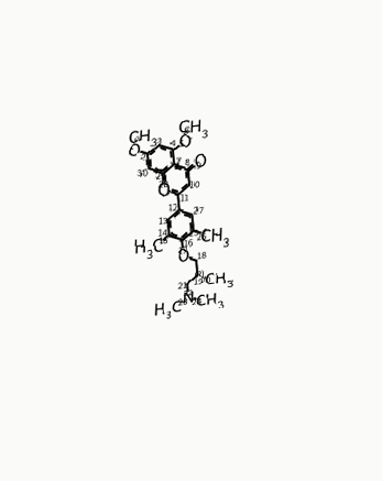 COc1cc(OC)c2c(=O)cc(-c3cc(C)c(OC[C@H](C)CN(C)C)c(C)c3)oc2c1